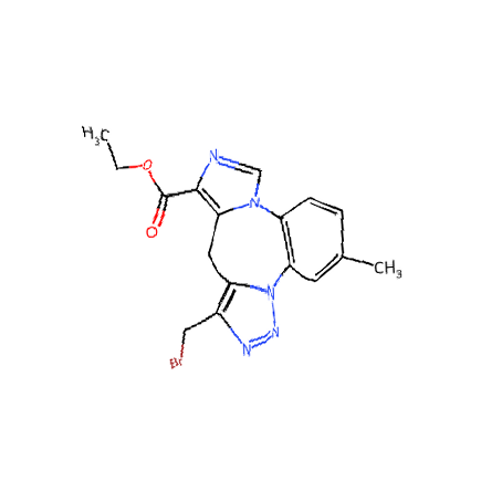 CCOC(=O)c1ncn2c1Cc1c(CBr)nnn1-c1cc(C)ccc1-2